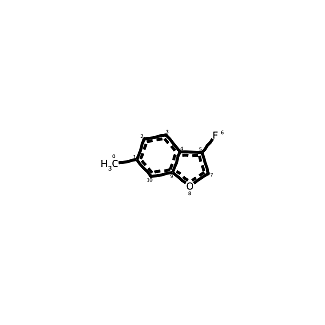 Cc1ccc2c(F)coc2c1